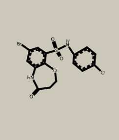 O=C1CCOc2c(cc(Br)cc2S(=O)(=O)Nc2ccc(Cl)cc2)N1